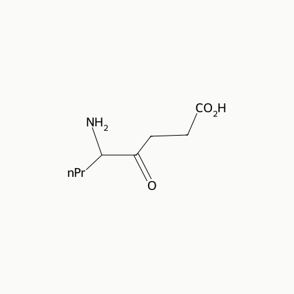 CCCC(N)C(=O)CCC(=O)O